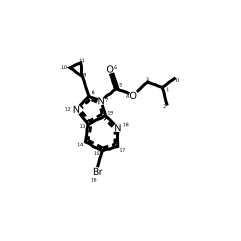 CC(C)COC(=O)n1c(C2CC2)nc2cc(Br)cnc21